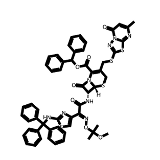 COC(C)(C)ON=C(C(=O)N[C@@H]1C(=O)N2C(C(=O)OC(c3ccccc3)c3ccccc3)=C(CSc3nn4c(=O)cc(C)nc4s3)CS[C@H]12)c1csc(NC(c2ccccc2)(c2ccccc2)c2ccccc2)n1